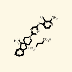 Nc1nccc(Sc2cnc(N3CCC4(CC3)Cc3ccccc3[C@H]4N)nn2)c1Cl.O=C(O)CCC(=O)O